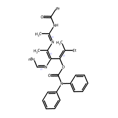 CCCC\C=N/C(C(/OC(=O)N(c1ccccc1)c1ccccc1)=C(\C)CC)=C(C)/N=C(\C)NC(=O)C(C)C